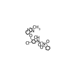 Cc1cn2cccc(OCc3c(Cl)ccc(NC(=O)CN4C(=O)c5ccccc5C4=O)c3Cl)c2n1